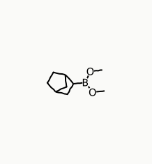 COB(OC)C1CC2CCC1C2